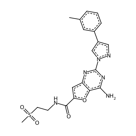 Cc1cccc(-c2cnn(-c3nc(N)c4oc(C(=O)NCCS(C)(=O)=O)cc4n3)c2)c1